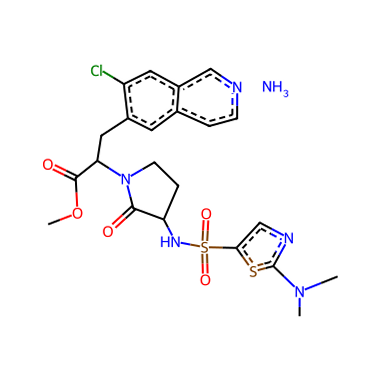 COC(=O)C(Cc1cc2ccncc2cc1Cl)N1CCC(NS(=O)(=O)c2cnc(N(C)C)s2)C1=O.N